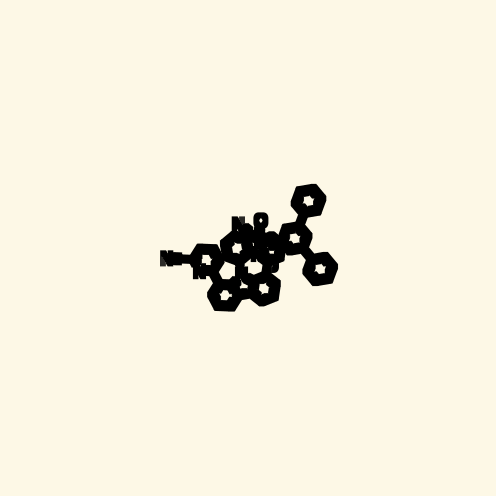 N#Cc1cccc(-c2cccc3c4cccc(-c5cccc(C#N)n5)c4n(-c4cccc5c4C(=O)N(c4cc(-c6ccccc6)cc(-c6ccccc6)c4)C5=O)c23)n1